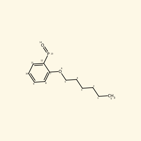 CCCCCCOc1ccccc1P=O